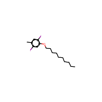 CCCCCCCCCCOc1cc(I)c(C)cc1I